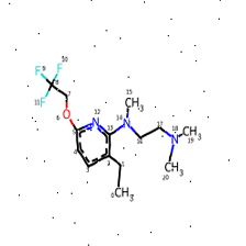 CCc1ccc(OCC(F)(F)F)nc1N(C)CCN(C)C